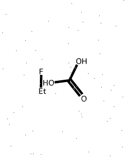 CCF.O=C(O)O